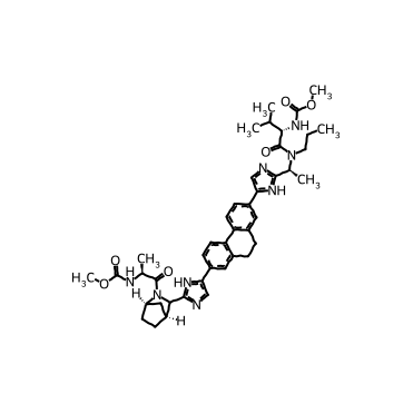 CCCN(C(=O)[C@@H](NC(=O)OC)C(C)C)[C@@H](C)c1ncc(-c2ccc3c(c2)CCc2cc(-c4cnc(C5[C@H]6CC[C@H](C6)N5C(=O)[C@H](C)NC(=O)OC)[nH]4)ccc2-3)[nH]1